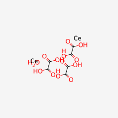 O.O=C(O)C(=O)O.O=C(O)C(=O)O.O=C(O)C(=O)O.[Ce].[Ce]